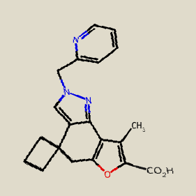 Cc1c(C(=O)O)oc2c1-c1nn(Cc3ccccn3)cc1C1(CCC1)C2